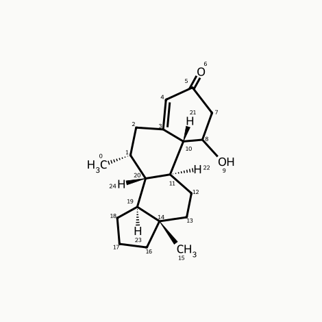 C[C@@H]1CC2=CC(=O)CC(O)[C@@H]2[C@H]2CC[C@]3(C)CCC[C@H]3[C@@H]21